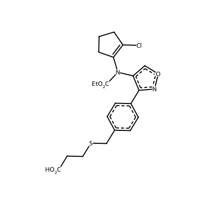 CCOC(=O)N(C1=C(Cl)CCC1)c1conc1-c1ccc(CSCCC(=O)O)cc1